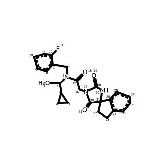 CC(C1CC1)N(Cc1ccccc1F)C(=O)CN1C(=O)NC2(CCc3ccccc32)C1=O